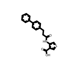 O=C(CCc1ccc(-c2ccccc2)cc1)Nc1cscc1C(=O)O